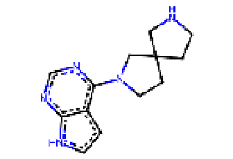 c1nc(N2CCC3(CCNC3)C2)c2cc[nH]c2n1